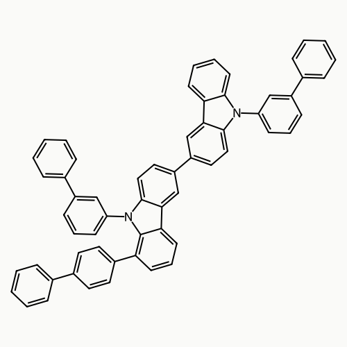 c1ccc(-c2ccc(-c3cccc4c5cc(-c6ccc7c(c6)c6ccccc6n7-c6cccc(-c7ccccc7)c6)ccc5n(-c5cccc(-c6ccccc6)c5)c34)cc2)cc1